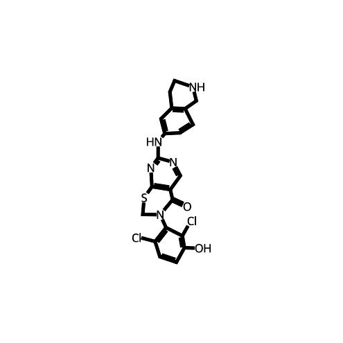 O=C1c2cnc(Nc3ccc4c(c3)CCNC4)nc2SCN1c1c(Cl)ccc(O)c1Cl